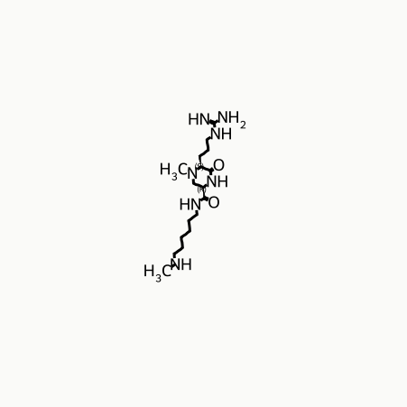 CNCCCCCCNC(=O)[C@H]1CN(C)[C@@H](CCCNC(=N)N)C(=O)N1